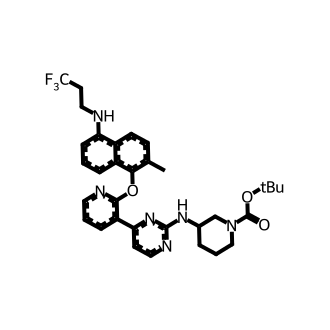 Cc1ccc2c(NCCC(F)(F)F)cccc2c1Oc1ncccc1-c1ccnc(NC2CCCN(C(=O)OC(C)(C)C)C2)n1